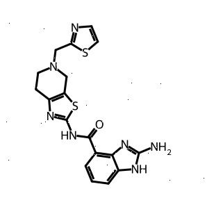 Nc1nc2c(C(=O)Nc3nc4c(s3)CN(Cc3nccs3)CC4)cccc2[nH]1